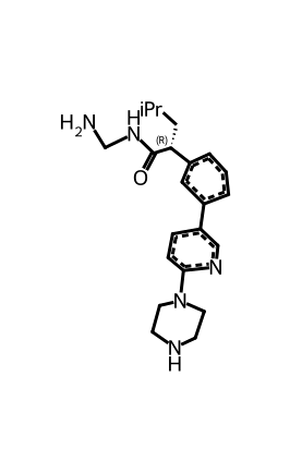 CC(C)C[C@@H](C(=O)NCN)c1cccc(-c2ccc(N3CCNCC3)nc2)c1